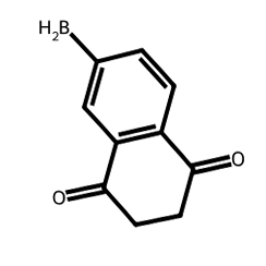 Bc1ccc2c(c1)C(=O)CCC2=O